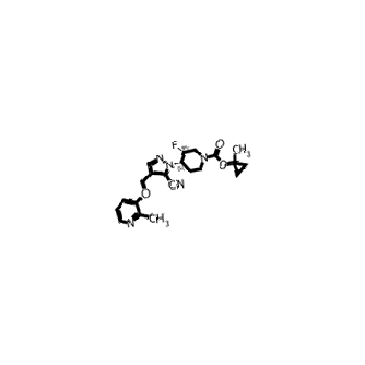 Cc1ncccc1OCc1cnn([C@H]2CCN(C(=O)OC3(C)CC3)C[C@H]2F)c1C#N